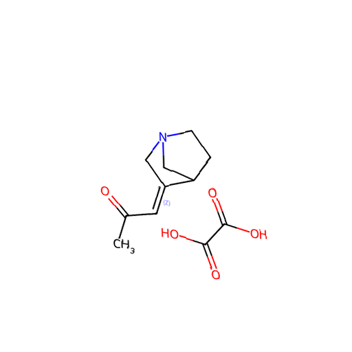 CC(=O)/C=C1\CN2CCC1C2.O=C(O)C(=O)O